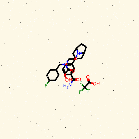 NC(=O)c1cccc(C2CC3CCC(C2)N3CCN(CC2CCC(F)CC2)C(=O)CO)c1.O=C(O)C(F)(F)F